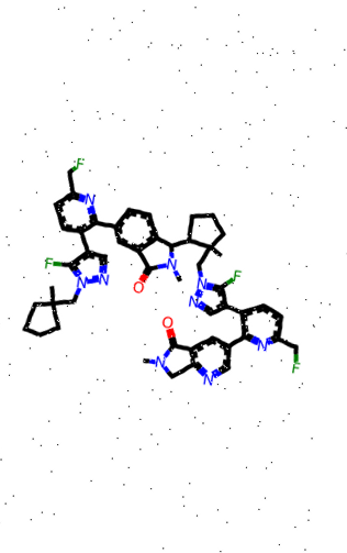 CN1Cc2ncc(-c3nc(CF)ccc3-c3cnn(CC4(C)CCCC4C4c5ccc(-c6nc(CF)ccc6-c6cnn(CC7(C)CCCC7)c6F)cc5C(=O)N4C)c3F)cc2C1=O